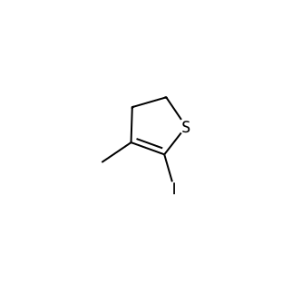 CC1=C(I)SCC1